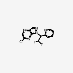 FC(F)C(c1ccccn1)n1ncc2ncc(Cl)nc21